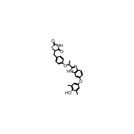 Cc1cc(Oc2ccc3nc(C(C)Oc4ccc(CC5SC(=O)NC5=O)cc4)[nH]c3c2)cc(C)c1O